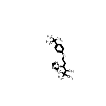 CC(C)(C)c1ccc(OCCC(C(O)C(C)(C)C)n2cncn2)cc1